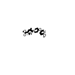 COC(=O)c1cc(C)c(N2CCC(Oc3ccc(OC)nc3)CC2)nn1